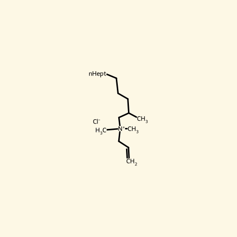 C=CC[N+](C)(C)CC(C)CCCCCCCCCC.[Cl-]